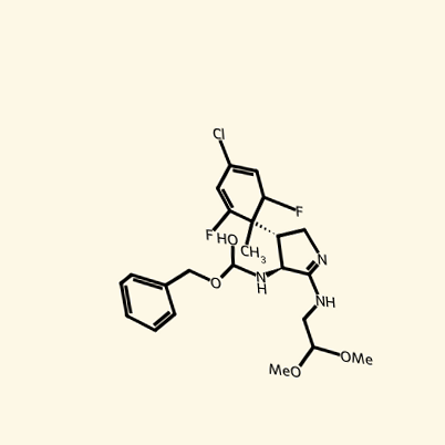 COC(CNC1=NC[C@@H](C2(C)C(F)=CC(Cl)=CC2F)[C@@H]1NC(O)OCc1ccccc1)OC